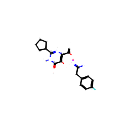 C=C(O/N=C(\N)Cc1ccc(F)cc1)c1nc(C2CCCC2)n(C)c(=O)c1O